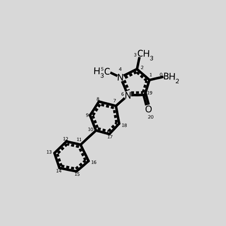 Bc1c(C)n(C)n(-c2ccc(-c3ccccc3)cc2)c1=O